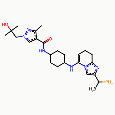 BC(P)c1cn2c(n1)CCC=C2NC1CCC(NC(=O)c2cn(CC(C)(C)O)nc2C)CC1